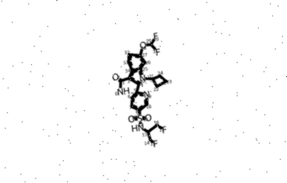 NC(=O)c1c(-c2ccc(S(=O)(=O)NC(CF)CF)cn2)n(C2CCC2)c2cc(OC(F)F)ccc12